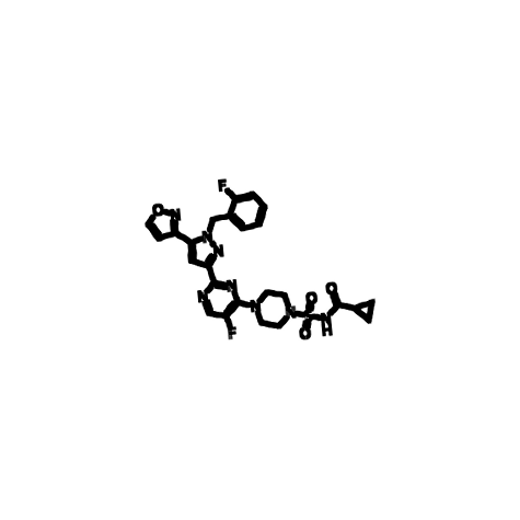 O=C(NS(=O)(=O)N1CCN(c2nc(-c3cc(-c4ccon4)n(Cc4ccccc4F)n3)ncc2F)CC1)C1CC1